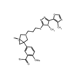 CCC(=O)c1cc(C23C[C@@H]2CN(CCCSc2nnc(-c4ocnc4C)n2C)C3)ccc1OC